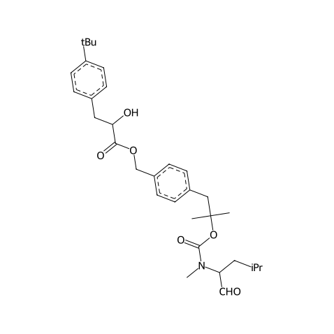 CC(C)CC(C=O)N(C)C(=O)OC(C)(C)Cc1ccc(COC(=O)C(O)Cc2ccc(C(C)(C)C)cc2)cc1